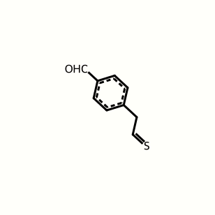 O=Cc1ccc(CC=S)cc1